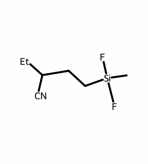 CCC(C#N)CC[Si](C)(F)F